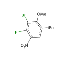 COc1c(C(C)(C)C)cc([N+](=O)[O-])c(F)c1Br